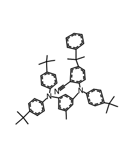 Cc1cc(N(c2ccc(C(C)(C)C)cc2)c2ccc(C(C)(C)C)cc2)cc(N(c2ccc(C(C)(C)C)cc2)c2ccc(C(C)(C)c3ccccc3)cc2C#N)c1